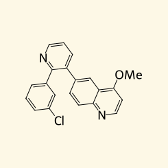 COc1ccnc2ccc(-c3cccnc3-c3cccc(Cl)c3)cc12